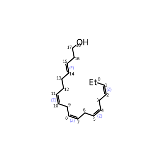 CC/C=C\C/C=C\C/C=C\C/C=C\CC/C=C/CCO